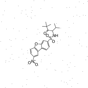 CC(C)C(NS(=O)(=O)c1ccc2c(c1)oc1ccc([N+](=O)[O-])cc12)C(=O)C(C)(C)C